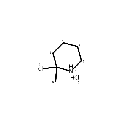 CC1(Cl)CCCCN1.Cl